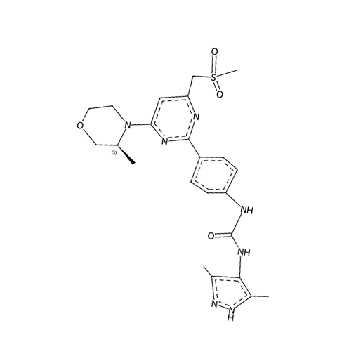 Cc1n[nH]c(C)c1NC(=O)Nc1ccc(-c2nc(CS(C)(=O)=O)cc(N3CCOC[C@@H]3C)n2)cc1